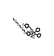 CCOCCOCCOCCOc1ccc(S(=O)(=O)NC(c2ccccc2)[C@@H](NCCCc2ccc(OC)cc2)c2ccccc2)cc1